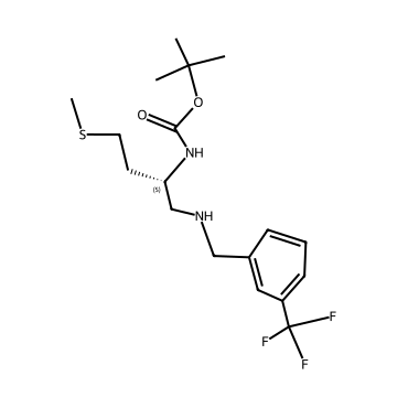 CSCC[C@@H](CNCc1cccc(C(F)(F)F)c1)NC(=O)OC(C)(C)C